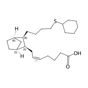 O=C(O)CCC/C=C\C[C@H]1[C@H]2CC[C@H](C2)[C@H]1CCCCSC1CCCCC1